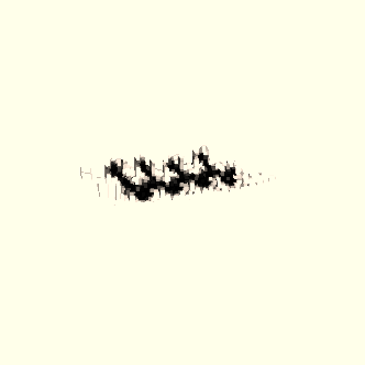 COc1ccc(NC(=O)[C@@H](CCCNC(N)=O)NC(=O)c2cc(NC(=O)[C@@H](CCCNC(N)=O)NC(=O)c3cc(NC(=O)[C@@H](CCCNC(N)=O)NC(=O)c4cc(NC(=O)[C@H](N)CCCNC(N)=O)ccc4OC)ccc3OC)ccc2OC)cc1C(N)=O